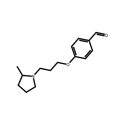 CC1CCCN1CCCOc1ccc(C=O)cc1